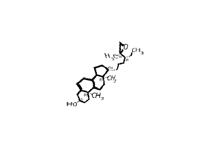 CC[C@H](CCC[C@H]1CCC2C3CC=C4C[C@@H](O)CC[C@]4(C)C3CC[C@@]21C)[C@@]1(C)CO1